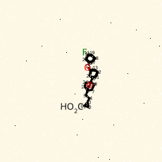 O=C(O)C1CC1CCC12CCC(c3cccc(Oc4cccc(F)c4)c3)(CC1)OC2